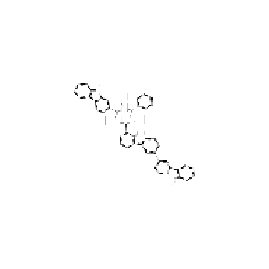 c1ccc(C2NC(c3ccc4c(c3)sc3ccccc34)NC(c3cccc4c3oc3ccc(-c5ccc6oc7ccccc7c6c5)cc34)N2)cc1